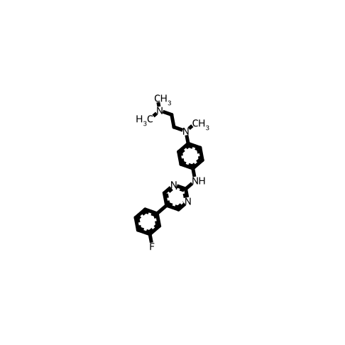 CN(C)CCN(C)c1ccc(Nc2ncc(-c3cccc(F)c3)cn2)cc1